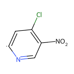 O=[N+]([O-])c1cn[c]cc1Cl